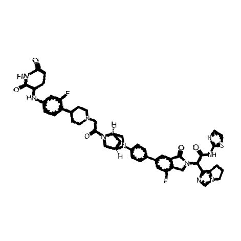 O=C1CCC(Nc2ccc(C3CCN(CC(=O)N4C[C@H]5C[C@@H]4CN5c4ccc(-c5cc(F)c6c(c5)C(=O)N(C(C(=O)Nc5nccs5)c5ncn7c5CCC7)C6)cc4)CC3)c(F)c2)C(=O)N1